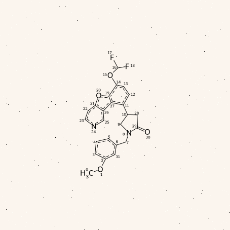 COc1cccc(CN2CC(c3ccc(OC(F)F)c4oc5ccncc5c34)CC2=O)c1